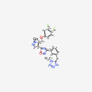 Cn1nnnc1Cc1cccc(-c2noc(-c3cnn(C)c3COc3ccc(F)c(F)c3)n2)c1